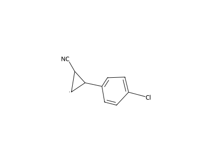 N#CC1[CH]C1c1ccc(Cl)cc1